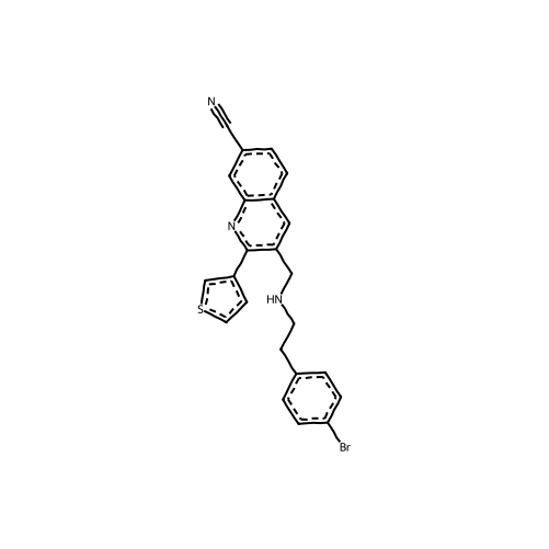 N#Cc1ccc2cc(CNCCc3ccc(Br)cc3)c(-c3ccsc3)nc2c1